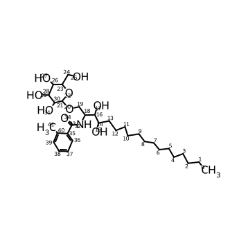 CCCCCCCCCCCCCCC(O)C(O)C(COC1OC(CO)C(O)C(O)C1O)NC(=O)c1ccccc1C